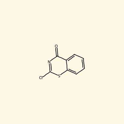 O=c1nc(Cl)sc2ccccc12